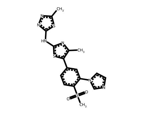 Cc1nnc(Nc2nc(C)c(-c3ccc(S(C)(=O)=O)c(-n4ccnc4)c3)s2)s1